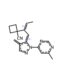 C=c1cnn(-c2cc(C)ncn2)/c1=C/C(=C\C)C1(C#N)CCC1